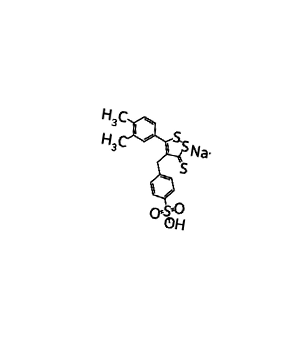 Cc1ccc(-c2ssc(=S)c2Cc2ccc(S(=O)(=O)O)cc2)cc1C.[Na]